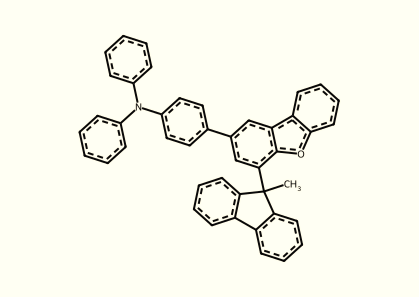 CC1(c2cc(-c3ccc(N(c4ccccc4)c4ccccc4)cc3)cc3c2oc2ccccc23)c2ccccc2-c2ccccc21